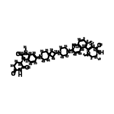 C[C@@H]1CN(C)c2c(sc3ccc4nc(N5CCN(C6CC7(CCN(c8ccc9c(c8)n(C)c(=O)n9C8CCC(=O)NC8=O)CC7)C6)CC5)ccc4c23)C(=O)N1